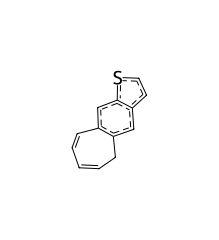 C1=CCc2cc3ccsc3cc2C=C1